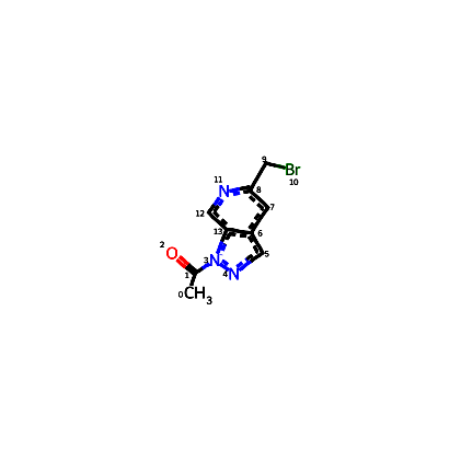 CC(=O)n1ncc2cc(CBr)ncc21